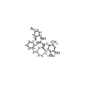 Cc1cc(O)c(C(C)(C)C)cc1CN(C(=O)Nc1ccc(F)cc1F)C1=CCCCC(Cc2ccccc2)C1